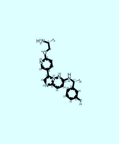 C[C@@H](N)COc1ccc(-c2cnc3ccc(N[C@H](C)c4cccc(F)c4)nn23)cn1